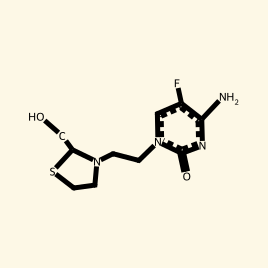 Nc1nc(=O)n(CCN2CCSC2CO)cc1F